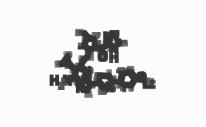 CCOc1ccc(-c2ccc(-c3cnn4c(N)c(C5CC5)c(CC[C@H]5CC(C)=CN5C(=O)c5nnc[nH]5)nc34)cn2)cc1